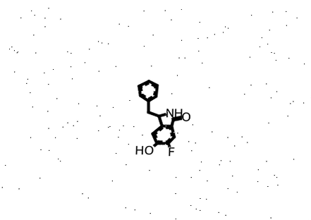 O=C1NC(Cc2ccccc2)c2cc(O)c(F)cc21